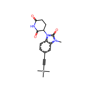 Cn1c(=O)n(C2CCC(=O)NC2=O)c2ccc(C#C[Si](C)(C)C)cc21